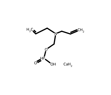 C=CCN(CC=C)CO[PH](=O)O.[CaH2]